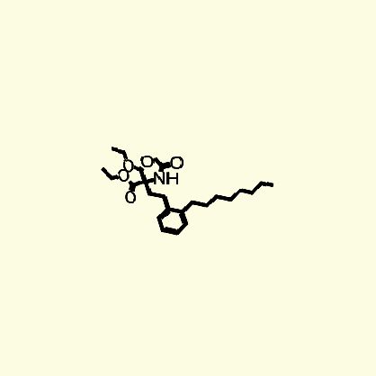 CCCCCCCCc1ccccc1CCC(NC(C)=O)(C(=O)OCC)C(=O)OCC